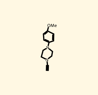 C#CN1CCN(c2ccc(OC)cc2)CC1